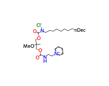 CCCCCCCCCCCCCCCCCCN(C)C(=O)OCC(C)(COC(=O)NCC[n+]1ccccc1)OC.[Cl-]